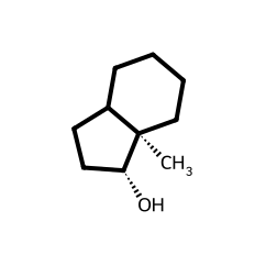 C[C@@]12CCCCC1CC[C@H]2O